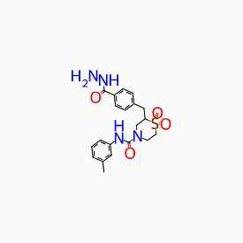 Cc1cccc(NC(=O)N2CCS(=O)(=O)C(Cc3ccc(C(=O)NN)cc3)C2)c1